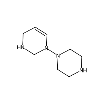 C1=CN(N2CCNCC2)CNC1